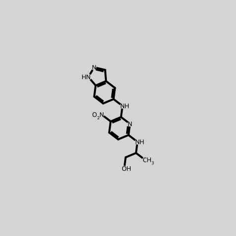 CC(CO)Nc1ccc([N+](=O)[O-])c(Nc2ccc3[nH]ncc3c2)n1